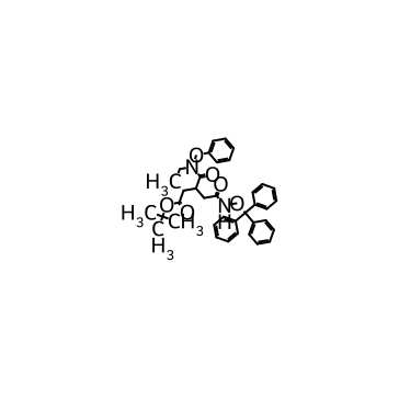 CCN(Oc1ccccc1)C(=O)C(CC(=O)NOC(c1ccccc1)(c1ccccc1)c1ccccc1)CC(=O)OC(C)(C)C